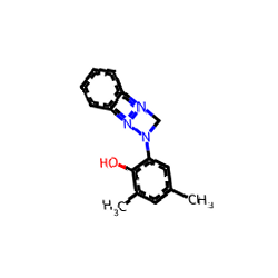 Cc1cc(C)c(O)c(N2Cn3c4ccccc4n32)c1